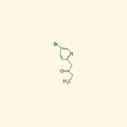 CCC(=O)Cc1ccc(Br)cn1